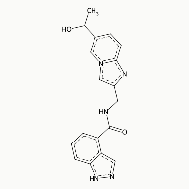 CC(O)c1ccc2nc(CNC(=O)c3cccc4[nH]ncc34)cn2c1